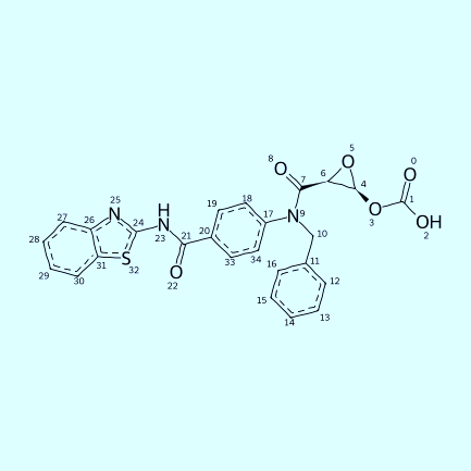 O=C(O)O[C@@H]1O[C@@H]1C(=O)N(Cc1ccccc1)c1ccc(C(=O)Nc2nc3ccccc3s2)cc1